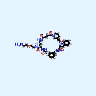 CN1C(=O)[C@@H]2CCCN(C2)C(=O)/C=C/C(=O)NCC[C@@H](C(=O)NCCOCCN)NC(=O)Cc2ccccc2CNC(=O)[C@@H]1Cc1ccccc1